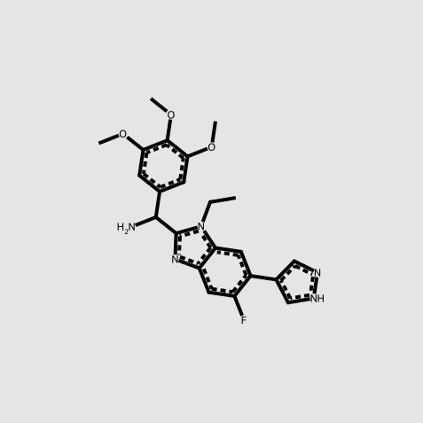 CCn1c(C(N)c2cc(OC)c(OC)c(OC)c2)nc2cc(F)c(-c3cn[nH]c3)cc21